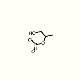 CC(CO)O[PH](=O)Cl